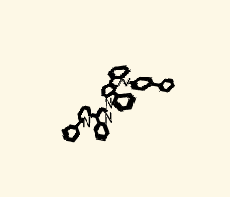 c1ccc(-c2ccc(-n3c4ccccc4c4ccc5c(c6ccccc6n5-c5cc(-c6cccc(-c7ccccc7)n6)c6ccccc6n5)c43)cc2)cc1